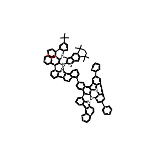 CC(C)(C)c1ccc(N2c3cc4ccccc4c4c3B(c3sc5cc6c(cc5c32)C(C)(C)CCC6(C)C)n2c3c-4cccc3c3ccc4c(-c5ccc6c7c8c9c(c6c5)c5cc(-c6ccccc6)cc6c%10cc(-c%11ccccc%11)cc(c%10n9c65)B8n5c6ccc8ccccc8c6c6cccc-7c65)cccc4c32)c(-c2ccccc2)c1